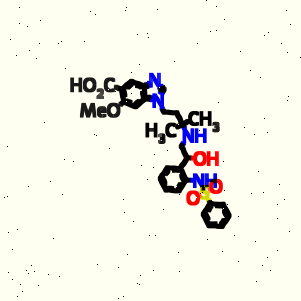 COc1cc2c(cc1C(=O)O)ncn2CCC(C)(C)NCC(O)c1ccccc1NS(=O)(=O)c1ccccc1